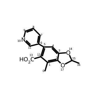 Cc1c2c(cc(-c3cccnc3)c1C(=O)O)OC(C)O2